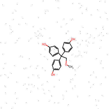 COCC(c1ccc(O)cc1)(c1ccc(O)cc1)c1ccc(O)cc1